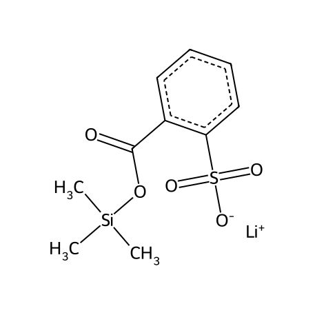 C[Si](C)(C)OC(=O)c1ccccc1S(=O)(=O)[O-].[Li+]